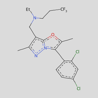 CCN(CCC(F)(F)F)Cc1c(C)nn2c(-c3ccc(Cl)cc3Cl)c(C)oc12